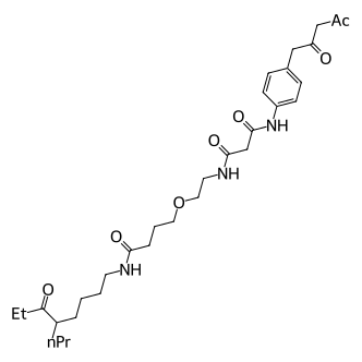 CCCC(CCCCNC(=O)CCCOCCNC(=O)CC(=O)Nc1ccc(CC(=O)CC(C)=O)cc1)C(=O)CC